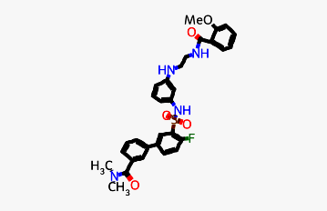 COc1ccccc1C(=O)NCCNc1cccc(NS(=O)(=O)c2cc(-c3cccc(C(=O)N(C)C)c3)ccc2F)c1